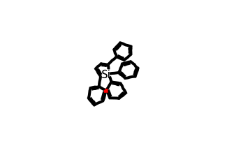 C1=C(c2ccccc2)[Si](c2ccccc2)(c2ccccc2)C(c2ccccc2)=C1